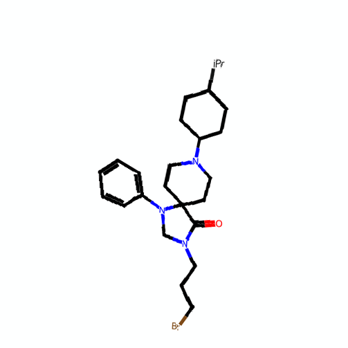 CC(C)C1CCC(N2CCC3(CC2)C(=O)N(CCCBr)CN3c2ccccc2)CC1